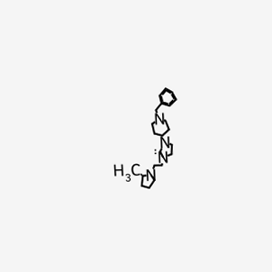 C[C@@H]1CCCN1CCN1[C]N(C2CCN(Cc3ccccc3)CC2)CC1